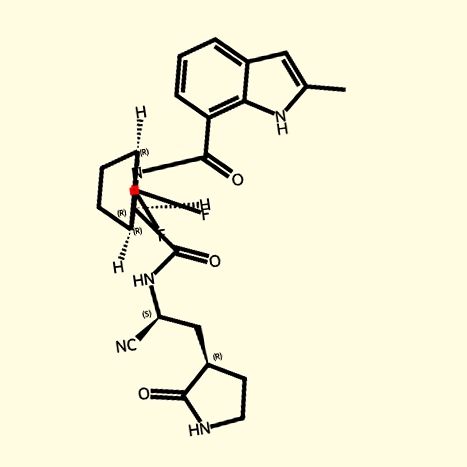 Cc1cc2cccc(C(=O)N3[C@@H]4CC[C@H]([C@@H]3C(=O)N[C@H](C#N)C[C@H]3CCNC3=O)C(F)(F)C4)c2[nH]1